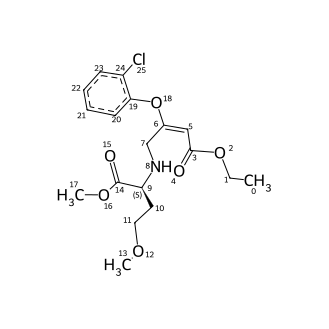 CCOC(=O)C=C(CN[C@@H](CCOC)C(=O)OC)Oc1ccccc1Cl